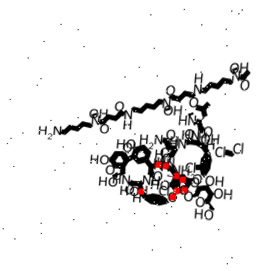 CC(=O)N(O)CCCCCNC(=O)CCC(=O)N(O)CCCCCNC(=O)CCC(=O)N(O)CCCCCN.CN[C@H](CC(C)C)C(=O)N[C@H]1C(=O)N[C@@H](CC(N)=O)C(=O)N[C@H]2C(=O)N[C@H]3C(=O)N[C@H](C(=O)N[C@@H](C(=O)O)c4cc(O)cc(O)c4-c4cc3ccc4O)[C@H](O)c3ccc(c(Cl)c3)Oc3cc2cc(c3O[C@@H]2O[C@H](CO)[C@@H](O)[C@H](O)[C@H]2O[C@H]2C[C@](C)(N)C(O)[C@H](C)O2)Oc2ccc(cc2Cl)[C@H]1O.ClCCl